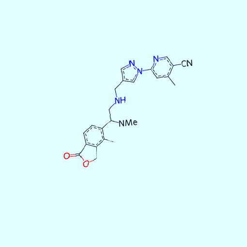 CNC(CNCc1cnn(-c2cc(C)c(C#N)cn2)c1)c1ccc2c(c1C)COC2=O